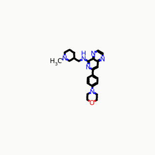 CN1CCCC(CNc2nc(-c3ccc(N4CCOCC4)cc3)cc3nccnc23)C1